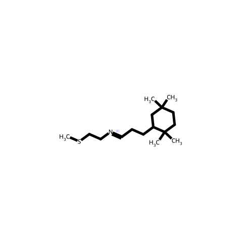 CSCC/N=C/CCC1CC(C)(C)CCC1(C)C